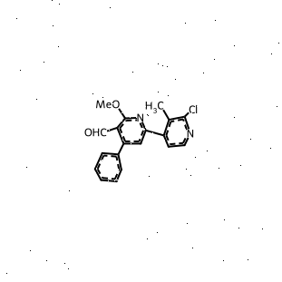 COc1nc(-c2ccnc(Cl)c2C)cc(-c2ccccc2)c1C=O